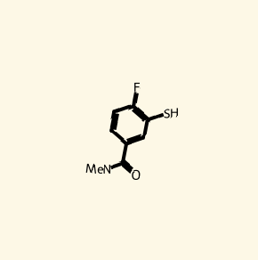 CNC(=O)c1ccc(F)c(S)c1